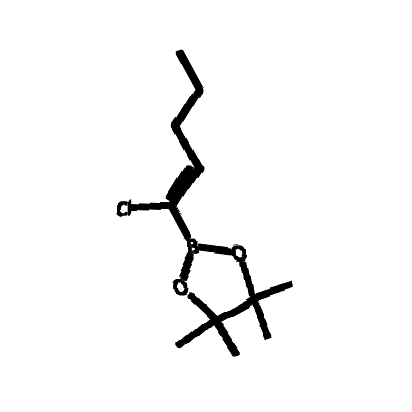 CCCC=C(Cl)B1OC(C)(C)C(C)(C)O1